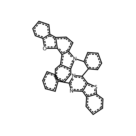 c1ccc(-c2nc(-c3ccccc3-n3c4ccccc4c4c5oc6ccccc6c5ccc43)c3sc4ccccc4c3n2)cc1